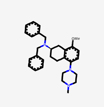 COc1ccc(N2CCN(C)CC2)c2c1C[C@H](N(Cc1ccccc1)Cc1ccccc1)CC2